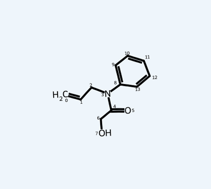 C=CCN(C(=O)CO)c1ccccc1